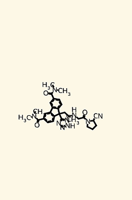 C[C@H](CC1(c2nn[nH]n2)c2ccc(C(=O)N(C)C)cc2-c2cc(C(=O)N(C)C)ccc21)NCC(=O)N1CCCC1C#N